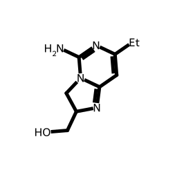 CCC1=CC2=NC(CO)CN2C(N)=N1